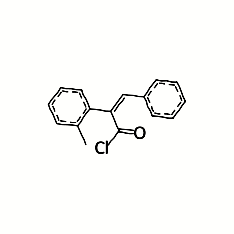 Cc1ccccc1C(=Cc1ccccc1)C(=O)Cl